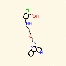 OCc1cc(CNCCCCOCCNc2nc3ccccc3c3cnccc23)ccc1Cl